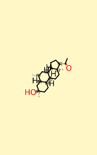 CC(=O)[C@H]1CC[C@H]2[C@@H]3C[C@@H](C)[C@H]4C[C@](C)(O)CC[C@@H]4[C@H]3CC[C@]12C